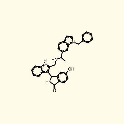 CC(NCc1[nH]c2ccccc2c1C1NC(=O)c2ccc(O)cc21)c1ccc2ccn(Cc3ccccc3)c2c1